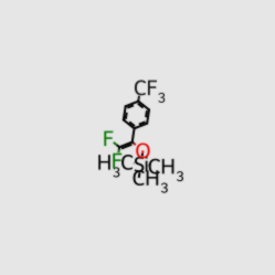 C[Si](C)(C)OC(=C(F)F)c1ccc(C(F)(F)F)cc1